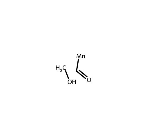 CO.O=[CH][Mn]